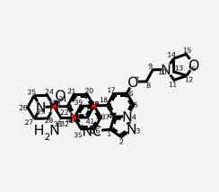 N#Cc1cnn2cc(OCCN3CC4CC3CO4)cc(-c3ccc(N4CC5CC(C4)N5C(=O)[C@@H](N)c4ccccc4)nc3)c12